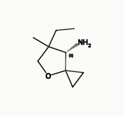 CCC1(C)COC2(CC2)[C@H]1N